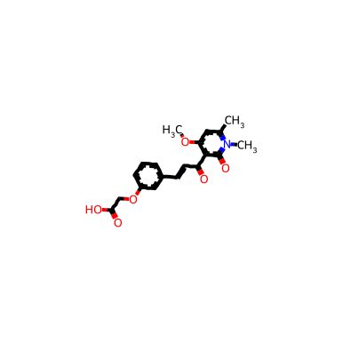 COc1cc(C)n(C)c(=O)c1C(=O)C=Cc1cccc(OCC(=O)O)c1